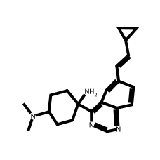 CN(C)C1CCC(N)(c2ncnc3ccc(C=CC4CC4)cc23)CC1